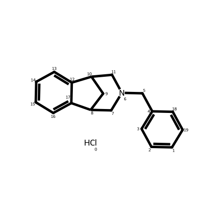 Cl.c1ccc(CN2CC3CC(C2)c2ccccc23)cc1